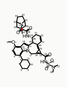 COc1ccc(C2CCCCC2)c2c1cc1n2CC2=C(C(=O)NS(=O)(=O)N(C)C)C2=C2C=CC[C@@H](NC(=O)C(=O)N3C4CCC3CN(C)C4)C21